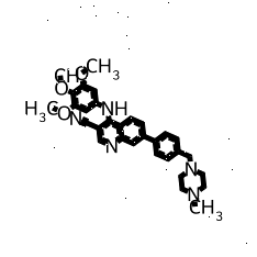 COc1cc(Nc2c(C#N)cnc3cc(-c4ccc(CN5CCN(C)CC5)cc4)ccc23)cc(OC)c1OC